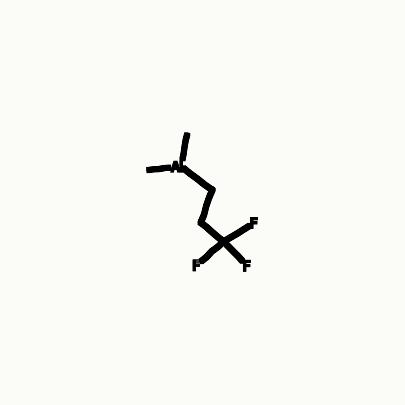 [CH3][Al]([CH3])[CH2]CC(F)(F)F